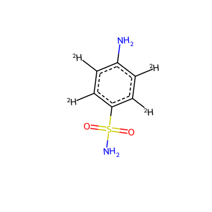 [2H]c1c([2H])c(S(N)(=O)=O)c([2H])c([2H])c1N